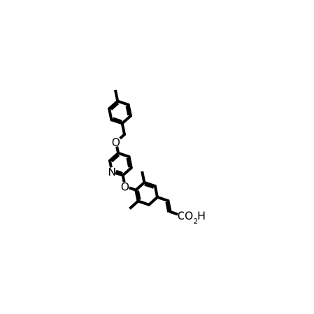 CC1=CC(/C=C/C(=O)O)CC(C)=C1Oc1ccc(OCc2ccc(C)cc2)cn1